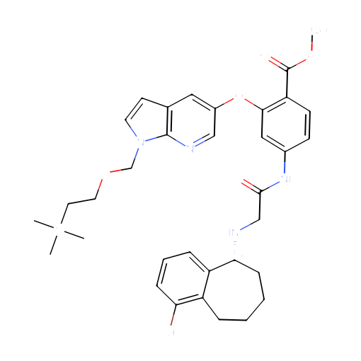 CC(C)(C)OC(=O)c1ccc(NC(=O)CN[C@@H]2CCCCc3c(Br)cccc32)cc1Oc1cnc2c(ccn2COCC[Si](C)(C)C)c1